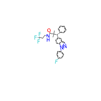 CC(C)(C(=O)NCCC(F)(F)F)C(c1ccccc1)c1ccc2c(cnn2-c2ccc(F)cc2)c1